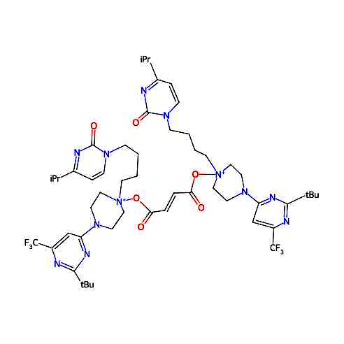 CC(C)c1ccn(CCCC[N+]2(OC(=O)/C=C/C(=O)O[N+]3(CCCCn4ccc(C(C)C)nc4=O)CCN(c4cc(C(F)(F)F)nc(C(C)(C)C)n4)CC3)CCN(c3cc(C(F)(F)F)nc(C(C)(C)C)n3)CC2)c(=O)n1